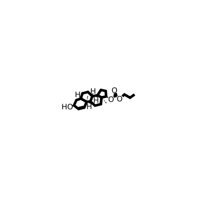 CCCOC(=O)O[C@H]1CC[C@H]2[C@@H]3CC[C@H]4C[C@@H](O)C=C[C@]4(C)[C@H]3CC[C@]12C